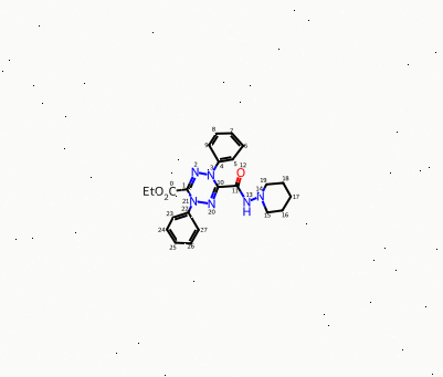 CCOC(=O)C1=NN(c2ccccc2)C(C(=O)NN2CCCCC2)=NN1c1ccccc1